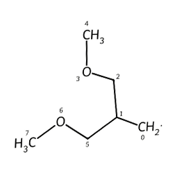 [CH2]C(COC)COC